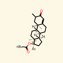 CCCCC(=O)O[C@]1(C(C)=O)CC[C@H]2[C@@H]3CCC4=CC(=O)C(C)C[C@]4(C)[C@H]3CC[C@@]21C